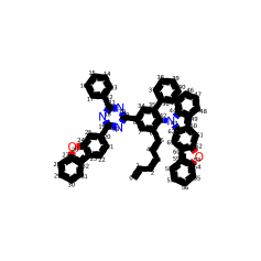 C=C/C=C\C=C\c1cc(-c2nc(-c3ccccc3)nc(-c3ccc4c(c3)oc3ccccc34)n2)cc(-c2ccccc2)c1-n1c2ccccc2c2cc3oc4ccccc4c3cc21